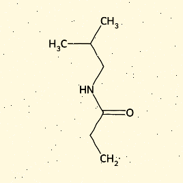 [CH2]CC(=O)NCC(C)C